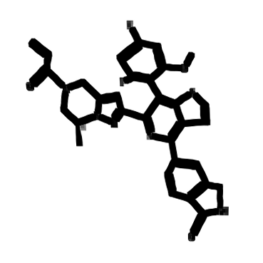 C=CC(=O)N1Cc2cc(-c3nc(-c4ccc5c(c4)CNC5=O)c4ccsc4c3-c3c(F)cc(F)cc3OC)nn2[C@@H](C)C1